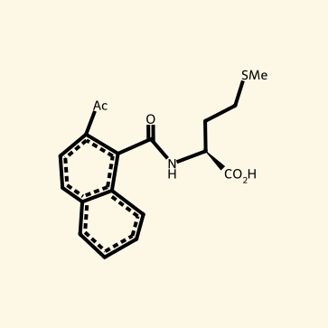 CSCC[C@H](NC(=O)c1c(C(C)=O)ccc2ccccc12)C(=O)O